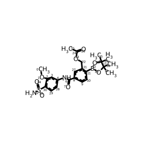 COc1cc(NC(=O)c2ccc(B3OC(C)(C)C(C)(C)O3)c(COC(C)=O)c2)ccc1S(N)(=O)=O